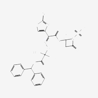 CC(C)(O/N=C(\C(=O)N[C@]1(C)CC(=O)N1S(=O)(=O)O)c1csc(N)n1)C(=O)OC(c1ccccc1)c1ccccc1